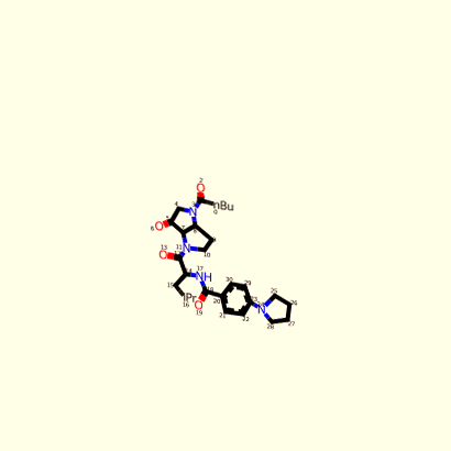 CCCCC(=O)N1CC(=O)C2C1CCN2C(=O)C(CC(C)C)NC(=O)c1ccc(N2CCCC2)cc1